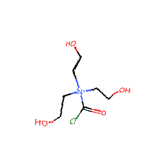 O=C(Cl)[N+](CCO)(CCO)CCO